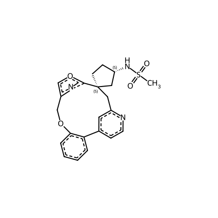 CS(=O)(=O)N[C@H]1CC[C@@]2(Cc3cc(ccn3)-c3ccccc3OCc3coc2n3)C1